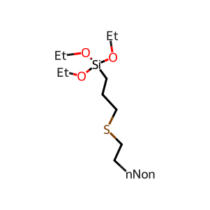 [CH2]CCCCCCCCCCSCCC[Si](OCC)(OCC)OCC